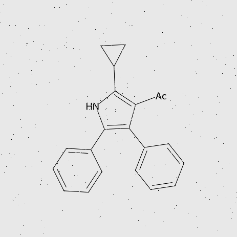 CC(=O)c1c(C2CC2)[nH]c(-c2ccccc2)c1-c1ccccc1